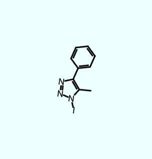 Cc1c(-c2ccccc2)nnn1I